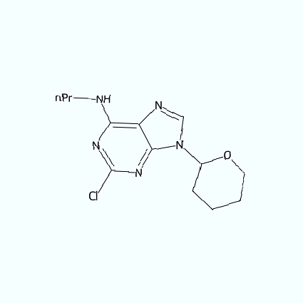 CCCNc1nc(Cl)nc2c1ncn2C1CCCCO1